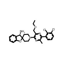 CCOCc1nc(-c2cccc(Cl)c2Cl)c(C)nc1N1CCC2(CC1)Oc1ccccc1[C@H]2N